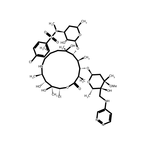 CC[C@H]1OC(=O)[C@H](C)[C@@H](O[C@H]2C[C@@](C)(OC)[C@](O)(CNc3ccnnc3)[C@H](C)O2)[C@H](C)[C@@H](O[C@@H]2O[C@H](C)C[C@H](N(C)S(=O)(=O)c3ccc(Cl)cc3)[C@H]2O)[C@](C)(O)C[C@@H](C)CN[C@H](C)[C@@H](O)[C@]1(C)O